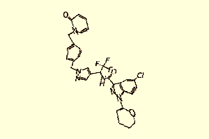 O=C(NC(c1cnn(Cc2ccc(Cn3ccccc3=O)cc2)c1)C(F)(F)F)c1nn(C2CCCCO2)c2ccc(Cl)cc12